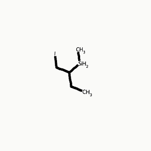 CCC(CI)[SiH2]C